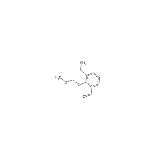 CCc1cccc(C=O)c1OCOC